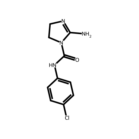 NC1=NCCN1C(=O)Nc1ccc(Cl)cc1